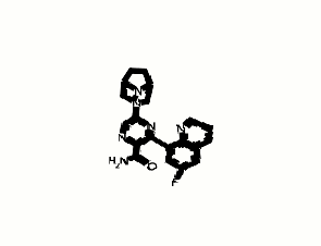 CN1C2CCC1CN(c1cnc(C(N)=O)c(-c3cc(F)cc4cccnc34)n1)C2